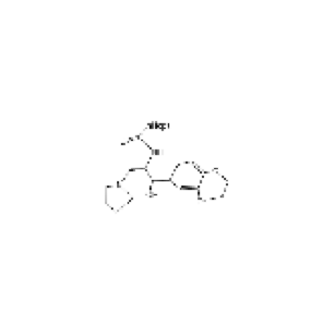 CCCCCCCC(=O)N[C@H](CN1CCCC1)[C@H](O)C1C=C2OCCOC2=CC1